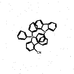 N#Cc1cccc([Si](c2ccccc2)(c2ccccc2)c2ccccc2)c1-c1cccc(-n2c3ccccc3c3ccccc32)c1